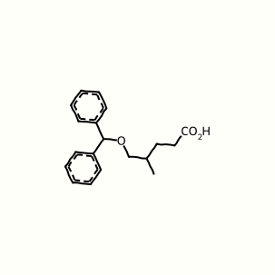 CC(CCC(=O)O)COC(c1ccccc1)c1ccccc1